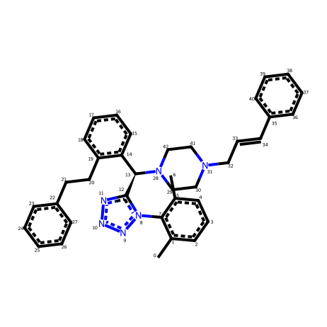 Cc1cccc(C)c1-n1nnnc1[C@@H](c1ccccc1CCc1ccccc1)N1CCN(C/C=C/c2ccccc2)CC1